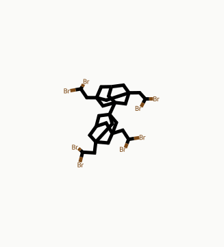 BrC(Br)CC12CC3CC(CC(Br)Br)(C1)CC(C14CC5CC(CC(Br)Br)(CC(CC(Br)Br)(C5)C1)C4)(C3)C2